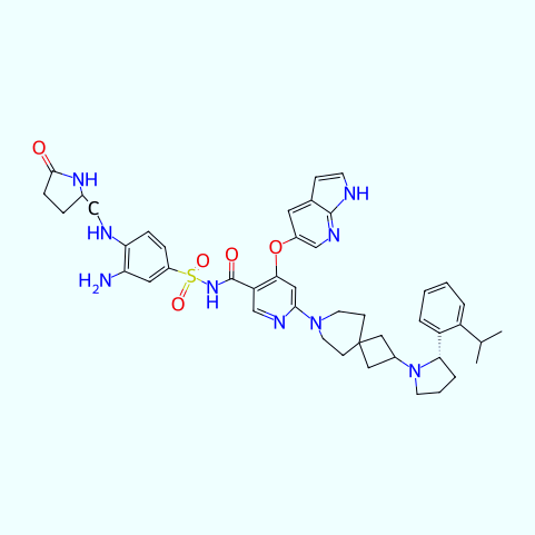 CC(C)c1ccccc1[C@@H]1CCCN1C1CC2(CCN(c3cc(Oc4cnc5[nH]ccc5c4)c(C(=O)NS(=O)(=O)c4ccc(NCC5CCC(=O)N5)c(N)c4)cn3)CC2)C1